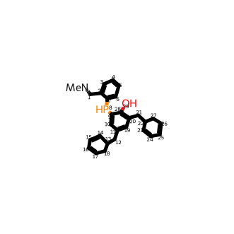 CNCc1ccccc1Pc1cc(CC2C=CC=CC2)cc(CC2C=CC=CC2)c1O